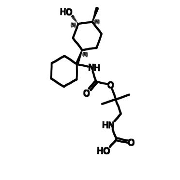 C[C@H]1CC[C@@H](C2(NC(=O)OC(C)(C)CNC(=O)O)CCCCC2)C[C@@H]1O